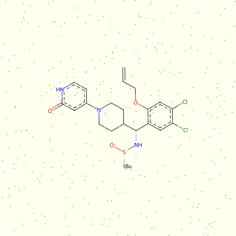 C=CCOc1cc(Cl)c(Cl)cc1[C@H](N[S@@+]([O-])C(C)(C)C)C1CCN(c2cc[nH]c(=O)c2)CC1